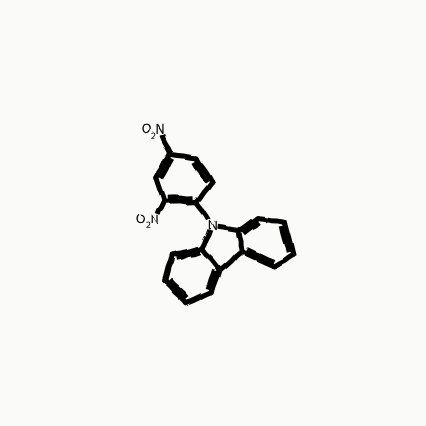 O=[N+]([O-])c1ccc(-n2c3ccccc3c3ccccc32)c([N+](=O)[O-])c1